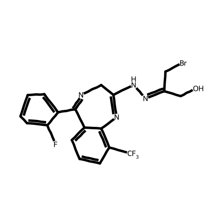 OCC(CBr)=NNC1=Nc2c(cccc2C(F)(F)F)C(c2ccccc2F)=NC1